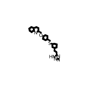 C(=C\c1nnn[nH]1)/c1cccc(SCc2ccc(OCc3ccc4ccccc4n3)cc2)c1